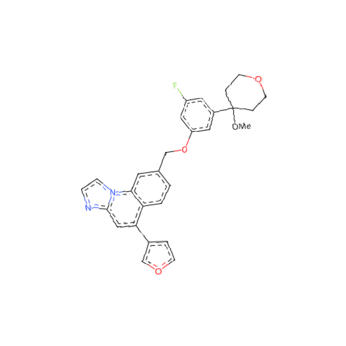 COC1(c2cc(F)cc(OCc3ccc4c(-c5ccoc5)cc5nccn5c4c3)c2)CCOCC1